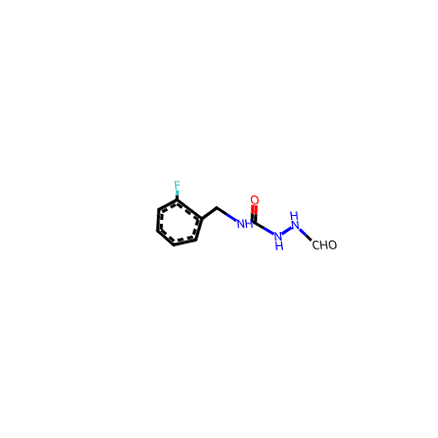 O=CNNC(=O)NCc1ccccc1F